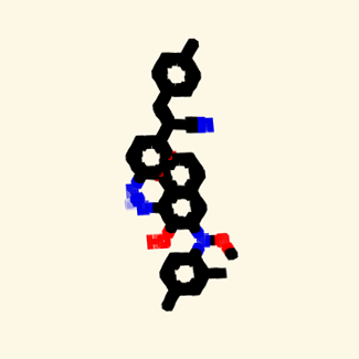 CON(c1ccc(C)cc1C)c1cc2ccccc2c(/N=N\c2ccc(C(C#N)=Cc3ccc(C)cc3)cc2)c1O